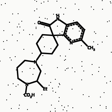 CCC1CN(C2CCC3(CC2)C(=O)Nc2ccc(C)nc23)CCCN1C(=O)O